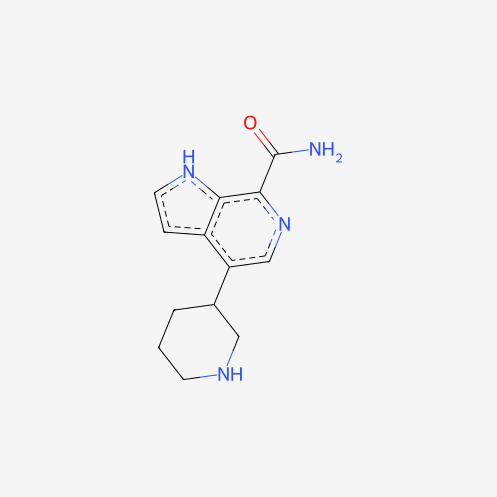 NC(=O)c1ncc(C2CCCNC2)c2cc[nH]c12